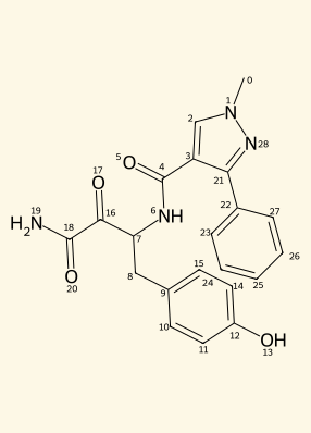 Cn1cc(C(=O)NC(Cc2ccc(O)cc2)C(=O)C(N)=O)c(-c2ccccc2)n1